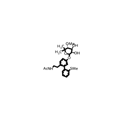 CO[C@@H]1[C@@H](O)[C@@H](O)C(Oc2ccc(CCNC(C)=O)c(-c3ccccc3SC)c2)OC1(C)C